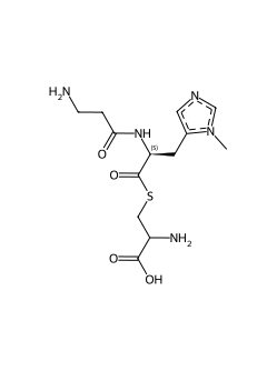 Cn1cncc1C[C@H](NC(=O)CCN)C(=O)SCC(N)C(=O)O